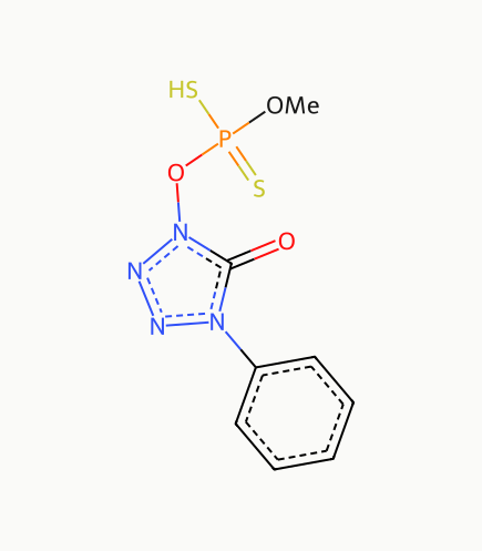 COP(=S)(S)On1nnn(-c2ccccc2)c1=O